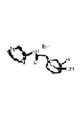 O=C(C[N+]12CCC(CC1)[C@@H](O)C2)Nc1cnccn1.[Br-]